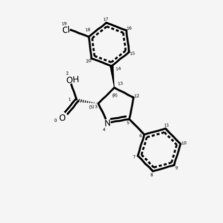 O=C(O)[C@H]1N=C(c2ccccc2)C[C@@H]1c1cccc(Cl)c1